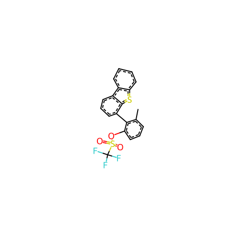 Cc1cccc(OS(=O)(=O)C(F)(F)F)c1-c1cccc2c1sc1ccccc12